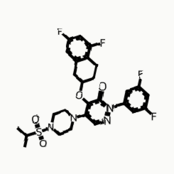 CC(C)S(=O)(=O)N1CCN(c2cnn(-c3cc(F)cc(F)c3)c(=O)c2OC2CCc3c(F)cc(F)cc3C2)CC1